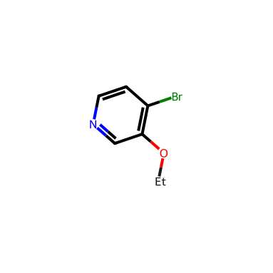 CCOc1cnccc1Br